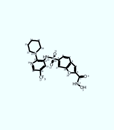 O=C(NO)c1cc2ccc(S(=O)(=O)Nc3cc(C(F)(F)F)cnc3N3CCCCC3)cc2o1